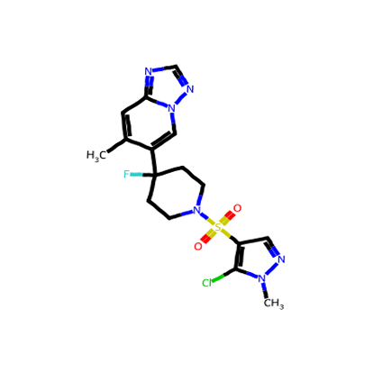 Cc1cc2ncnn2cc1C1(F)CCN(S(=O)(=O)c2cnn(C)c2Cl)CC1